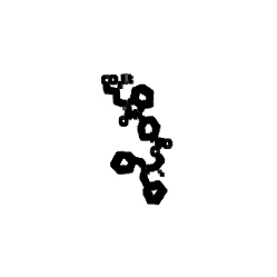 CCOC(=O)CCCn1c(=O)n(C2CCN(C(=O)OC[C@H](C)N(Cc3ccccc3)Cc3ccccc3)CC2)c2ccccc21